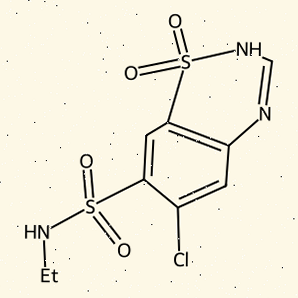 CCNS(=O)(=O)c1cc2c(cc1Cl)N=CNS2(=O)=O